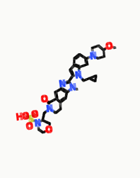 COC1CCN(c2ccc3cc(-c4nc5cc6c(cc5n4C)CCN(CC4COCCN4S(=O)(=O)O)C6=O)n(CC4CC4)c3c2)CC1